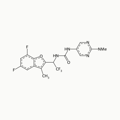 CNc1ncc(NC(=O)NC(c2oc3c(F)cc(F)cc3c2C)C(F)(F)F)cn1